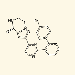 O=C1NCCn2nc(-c3ccnc(-c4ccccc4-c4ccc(Br)cc4)n3)cc21